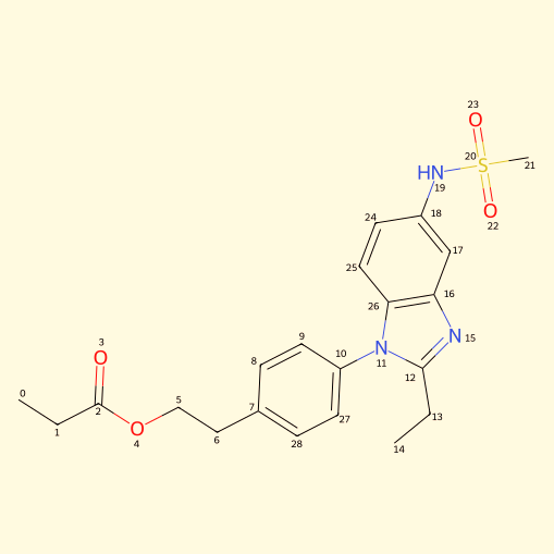 CCC(=O)OCCc1ccc(-n2c(CC)nc3cc(NS(C)(=O)=O)ccc32)cc1